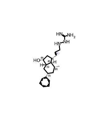 C[C@@H]1C[C@H](c2ccccc2)C[C@H]2[C@H]1[C@@H](/C=C/CNNC(=N)N)C[C@H]2O